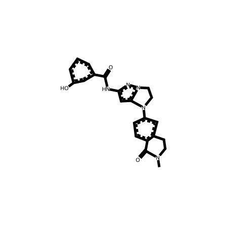 CN1CCc2cc(N3CCn4nc(NC(=O)c5cccc(O)c5)cc43)ccc2C1=O